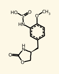 COc1ccc(C[C@H]2COC(=O)N2)cc1NS(=O)O